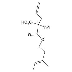 C=CCC(CCC)(C(=O)O)C(=O)OCCC(C)=CC